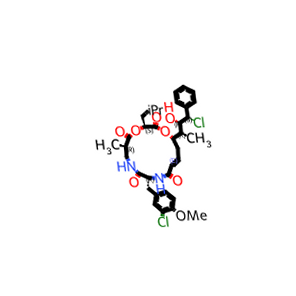 COc1ccc(C[C@H]2NC(=O)/C=C/CC([C@H](C)[C@@H](O)[C@@H](Cl)c3ccccc3)OC(=O)[C@H](CC(C)C)OC(=O)[C@H](C)CNC2=O)cc1Cl